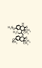 CCC(CN1C(=S)C(C)(C)Cc2cc(OC)ccc21)C1c2cc(OC)ccc2NC(=S)C1(C)C